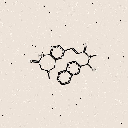 CCCC(c1ccc2ccccc2c1)N(C)C(=O)C=Cc1cnc2c(c1)CN(C)CC(=O)N2